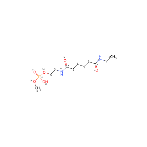 CCNC(=O)CCCCC(=O)NCCOP(=O)(O)OC